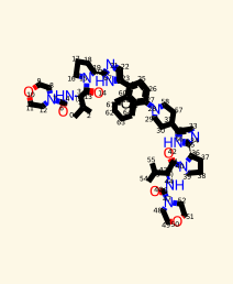 CC(C)[C@H](NC(=O)N1CCOCC1)C(=O)N1CCC[C@H]1c1ncc(-c2ccc(N3CCC(c4cnc([C@@H]5CCCN5C(=O)[C@@H](NC(=O)N5CCOCC5)C(C)C)[nH]4)CC3)c3c2C2CCC3CC2)[nH]1